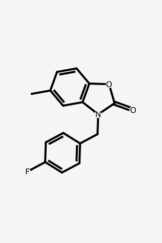 Cc1ccc2oc(=O)n(Cc3ccc(F)cc3)c2c1